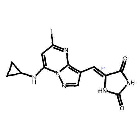 O=C1NC(=O)/C(=C/c2cnn3c(NC4CC4)cc(I)nc23)N1